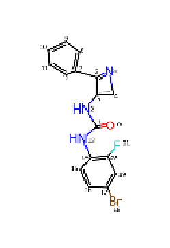 O=C(NC1=CN=C1c1ccccc1)Nc1ccc(Br)cc1F